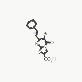 O=C(O)c1cn2c(=O)c(Br)c(/C=C/c3ccccc3)nc2s1